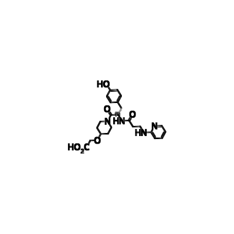 O=C(O)COC1CCN(C(=O)[C@H](Cc2ccc(O)cc2)NC(=O)CCNc2ccccn2)CC1